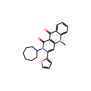 Cn1c2ccccc2c(=O)c2c(=O)n(C3CCCCCC3)c(-c3ccco3)cc21